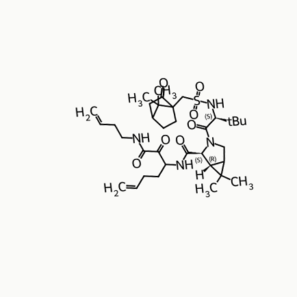 C=CCCNC(=O)C(=O)C(CCC=C)NC(=O)[C@@H]1[C@@H]2C(CN1C(=O)[C@@H](NS(=O)(=O)CC13CCC(CC1=O)C3(C)C)C(C)(C)C)C2(C)C